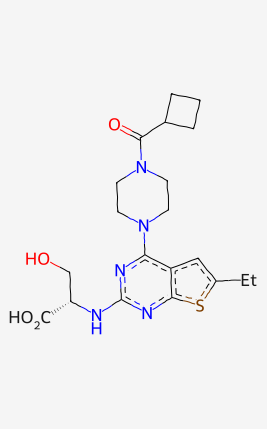 CCc1cc2c(N3CCN(C(=O)C4CCC4)CC3)nc(N[C@@H](CO)C(=O)O)nc2s1